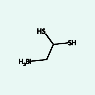 SC(S)[CH2][BiH2]